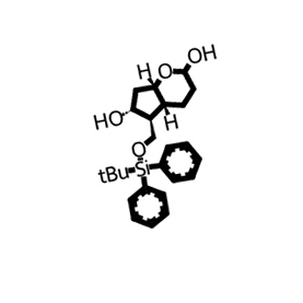 CC(C)(C)[Si](OC[C@@H]1[C@H]2CCC(O)O[C@H]2C[C@H]1O)(c1ccccc1)c1ccccc1